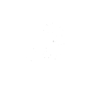 O=C(Nc1cccc2cnccc12)c1sccc1NS(=O)(=O)c1ccccc1